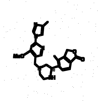 COc1cc(-n2cnc(C)c2)ncc1CN1CCN[C@H](c2ccc3c(c2C)COC3=O)C1